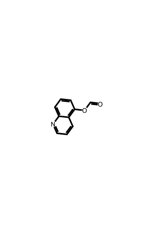 O=COc1cccc2ncccc12